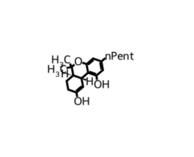 CCCCCc1cc(O)c2c(c1)OC(C)(C)[C@@H]1CCC(O)=C[C@@H]21